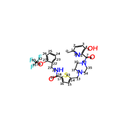 Cc1ccc(O)c(C(=O)N2CCN(Cc3ccc(C(=O)NCc4ccccc4OC(F)(F)F)s3)CC2)n1